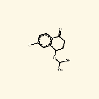 CC(C)(C)C(O)OC1CCC(=O)c2ccc(Cl)cc21